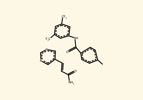 Cc1ccc(C(=O)Nc2cc(C(F)(F)F)cc(C(F)(F)F)c2)cc1.NC(=O)C=Cc1cncnc1